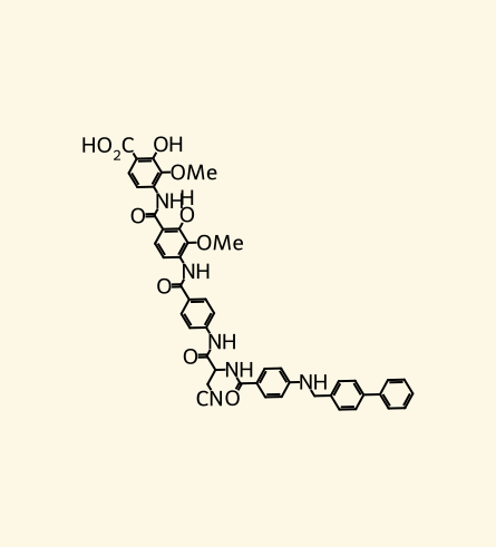 COc1c(NC(=O)c2ccc(NC(=O)c3ccc(NC(=O)C(CC#N)NC(=O)c4ccc(NCc5ccc(-c6ccccc6)cc5)cc4)cc3)c(OC)c2O)ccc(C(=O)O)c1O